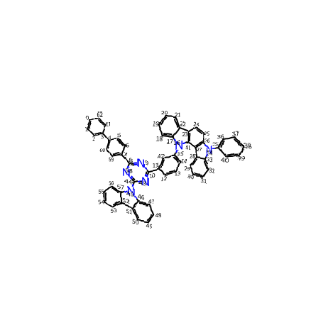 c1ccc(-c2ccc(-c3nc(-c4cccc(-n5c6ccccc6c6ccc7c(c8ccccc8n7-c7ccccc7)c65)c4)nc(-n4c5ccccc5c5ccccc54)n3)cc2)cc1